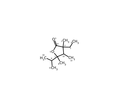 CCC1(C)C(=O)OC(C)(C(C)C)C1C